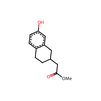 COC(=O)CC1CCc2ccc(O)cc2C1